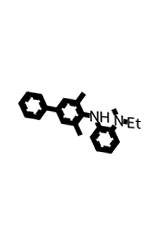 CCN(C)c1ccccc1Nc1c(C)cc(-c2ccccc2)cc1C